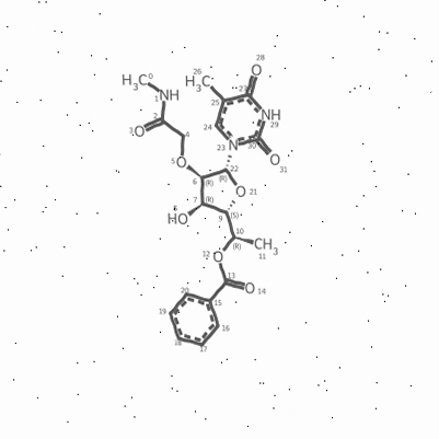 CNC(=O)CO[C@@H]1[C@H](O)[C@@H]([C@@H](C)OC(=O)c2ccccc2)O[C@H]1n1cc(C)c(=O)[nH]c1=O